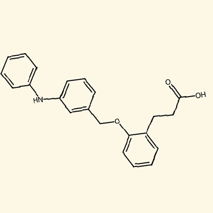 O=C(O)CCc1ccccc1OCc1cccc(Nc2ccccc2)c1